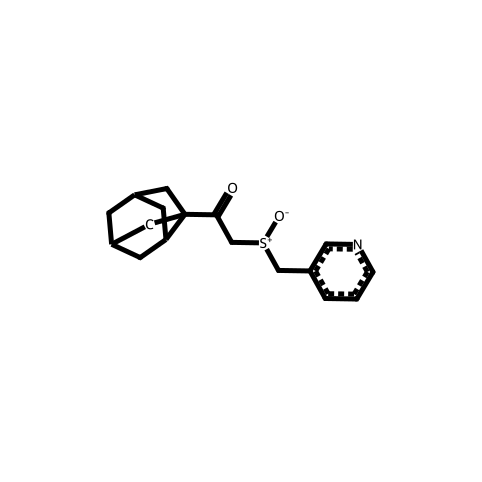 O=C(C[S+]([O-])Cc1cccnc1)C12CC3CC(CC1C3)C2